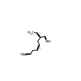 C/C=C(/C=N)C/C=C\CC=N